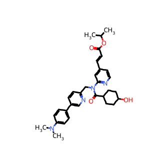 CC(C)OC(=O)/C=C/c1ccnc(N(Cc2ccc(-c3ccc(N(C)C)cc3)cn2)C(=O)C2CCC(O)CC2)c1